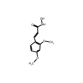 COc1ccc(/C=C/C(=O)NO)c(OC)c1